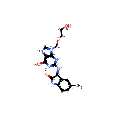 Cc1ccc2c(c1)/C(=N/c1nc3c(ncn3COCCO)c(=O)[nH]1)C(=O)N2